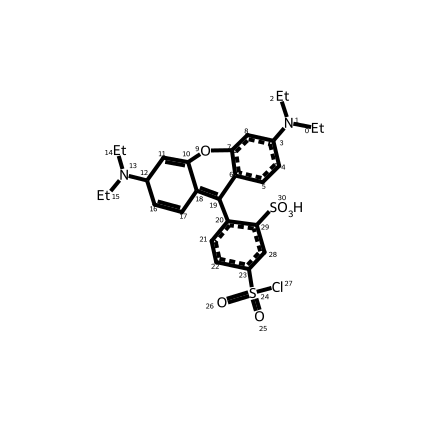 CCN(CC)c1ccc2c(c1)OC1=CC(N(CC)CC)C=CC1=C2c1ccc(S(=O)(=O)Cl)cc1S(=O)(=O)O